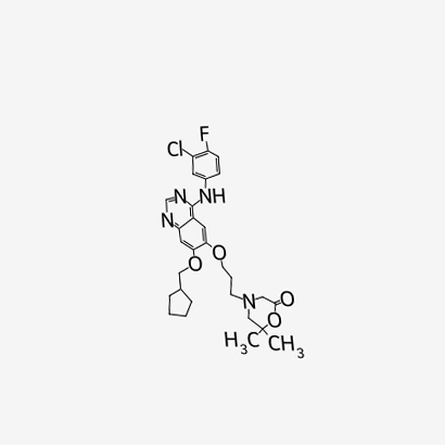 CC1(C)CN(CCCOc2cc3c(Nc4ccc(F)c(Cl)c4)ncnc3cc2OCC2CCCC2)CC(=O)O1